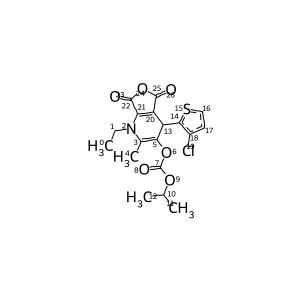 CCN1C(C)=C(OC(=O)OC(C)C)C(c2sccc2Cl)C2=C1C(=O)OC2=O